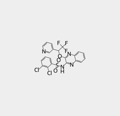 O=S(=O)(Nc1nc2ccccc2nc1OC(c1cccnc1)C(F)(F)F)c1cccc(Cl)c1Cl